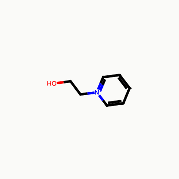 OCC[n+]1cc[c]cc1